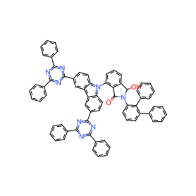 O=C1c2c(cccc2-n2c3ccc(-c4nc(-c5ccccc5)nc(-c5ccccc5)n4)cc3c3cc(-c4nc(-c5ccccc5)nc(-c5ccccc5)n4)ccc32)C(O)N1c1cccc(-c2ccccc2)c1-c1ccccc1